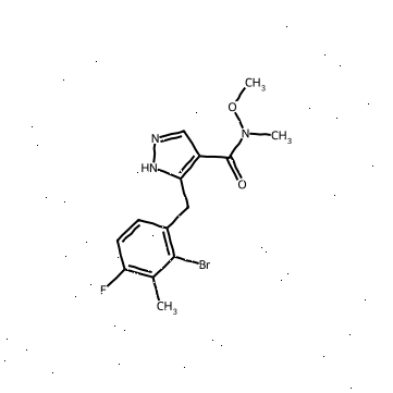 CON(C)C(=O)c1cn[nH]c1Cc1ccc(F)c(C)c1Br